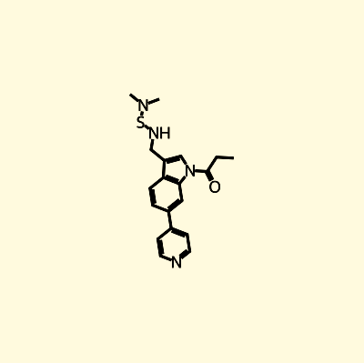 CCC(=O)n1cc(CNSN(C)C)c2ccc(-c3ccncc3)cc21